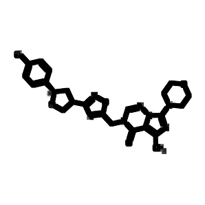 Cc1nc(N2CCOCC2)n2ncn(Cc3nc(C4CO[C@@H](c5ccc(Cl)cc5)C4)no3)c(=O)c12